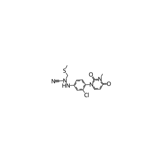 CSCN(C#N)Nc1ccc(-n2ccc(=O)n(C)c2=O)c(Cl)c1